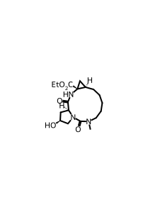 CCOC(=O)[C@@]12C[C@H]1CCCCCN(C)C(=O)N1C[C@@H](O)C[C@H]1C(=O)N2